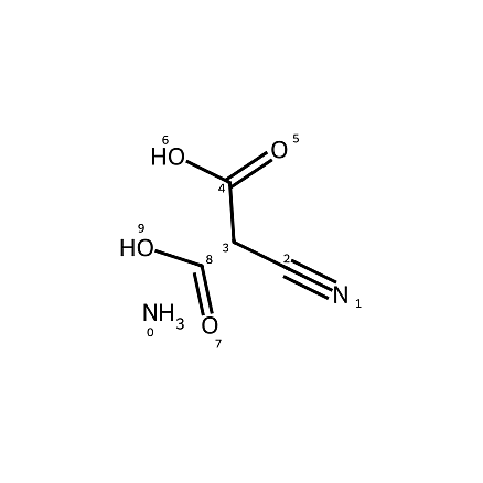 N.N#CCC(=O)O.O=CO